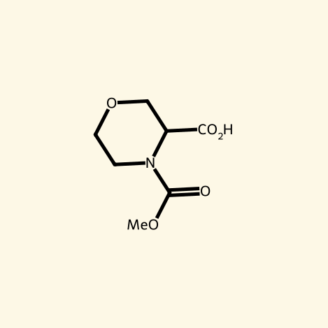 COC(=O)N1CCOCC1C(=O)O